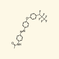 CC(=O)Nc1ccc(N=Nc2ccc(Oc3ccc(C(F)C(F)(F)C(F)(F)F)cc3)cc2)cc1